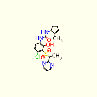 CC1=CCCC1NC(=O)Nc1ccc(Cl)c(S(=O)(=O)C(C)c2ncccn2)c1O